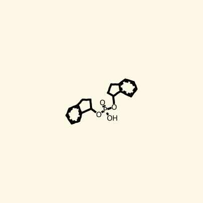 O=P(O)(OC1CCc2ccccc21)OC1CCc2ccccc21